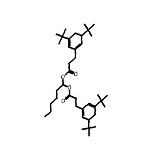 CCCCCC(OC(=O)CCC1=CC(C(C)(C)C)CC(C(C)(C)C)=C1)OC(=O)CCC1=CC(C(C)(C)C)CC(C(C)(C)C)=C1